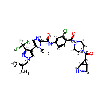 C=C(C)Cn1cc(-c2cnc(C(=O)Nc3ccc(C(=O)N4CCN(C(=O)C5C6CNCC65)CC4)c(Cl)c3)n2C)c(C(F)(F)F)n1